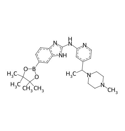 CC(c1ccnc(Nc2nc3ccc(B4OC(C)(C)C(C)(C)O4)cc3[nH]2)c1)N1CCN(C)CC1